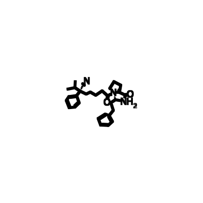 CC(C)[C@@](C#N)(CCCCC(=O)[N@@+]1(C(C)CCc2ccccc2)CCCC1C(N)=O)c1ccccc1